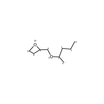 [CH2]C(CCC)OCC1CCO1